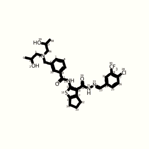 CC(O)CN(Cc1cccc(C(=O)Nc2sc3c(c2C(=O)N/N=C/c2ccc(Cl)c(C(F)(F)F)c2)CCC3)c1)CC(C)O